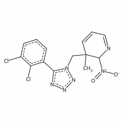 CC1(Cn2nnnc2-c2cccc(Cl)c2Cl)C=CC=NC1[N+](=O)[O-]